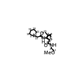 COCCNC(=O)c1scc(C)c1NC(=O)CN1CCCCC1